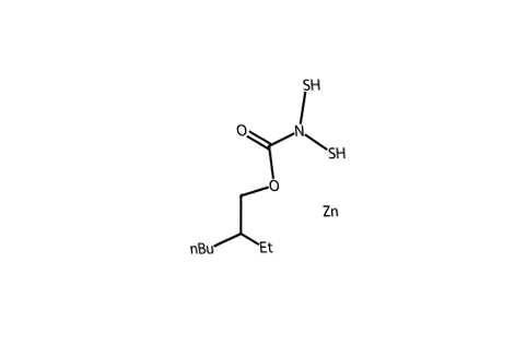 CCCCC(CC)COC(=O)N(S)S.[Zn]